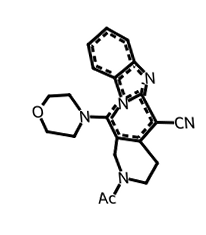 CC(=O)N1CCc2c(c(N3CCOCC3)n3c(nc4ccccc43)c2C#N)C1